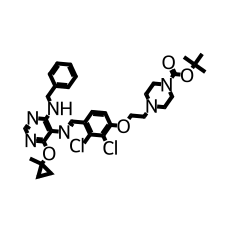 CC(C)(C)OC(=O)N1CCN(CCOc2ccc(/C=N/c3c(NCc4ccccc4)ncnc3OC3(C)CC3)c(Cl)c2Cl)CC1